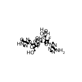 Nc1ncnc2c1ncn2[C@@H]1O[C@H](COP(=O)(O)OC2C(F)[C@@H](CO)O[C@H]2n2cnc3c(=O)[nH]cnc32)C(OC[PH](=O)O)C1F